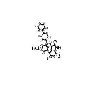 CCc1cc(F)cc2c1NC(=O)C2(CCN1CCC(c2ccccc2)CC1)c1ccccc1.Cl